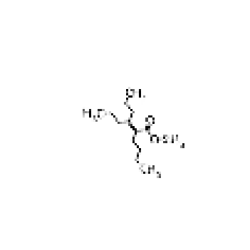 CCCCC(C(=O)O[SiH3])=C(CCC)CCC